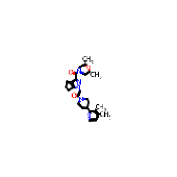 Cc1ccnc(C2CCN(C(=O)Cn3nc(C(=O)N4C[C@@H](C)O[C@@H](C)C4)c4c3CCC4)CC2)c1C